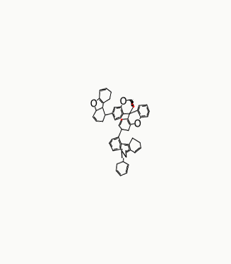 C1=CCC(n2c3c(c4c(C5C=CC6=C(C5)Oc5ccccc5C65c6ccccc6Oc6cc(C7CC=CC8OC9=C(CCC=C9)C87)ccc65)cccc42)CCC=C3)C=C1